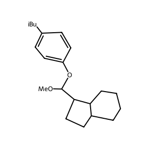 CCC(C)c1ccc(OC(OC)C2CCC3CCCCC32)cc1